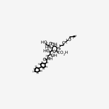 C#CCOCCOCCS[C@H]1C[C@H](O)[C@@H](NC(=O)CO)[C@H]([C@H](O)[C@H](O)CNC(=O)Cc2ccc(-c3ccccc3)cc2)O[C@H]1C(=O)O